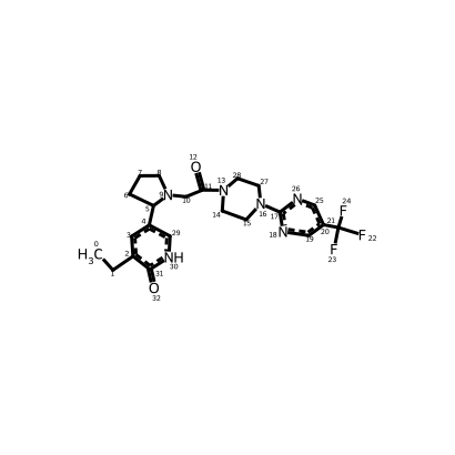 CCc1cc(C2CCCN2CC(=O)N2CCN(c3ncc(C(F)(F)F)cn3)CC2)c[nH]c1=O